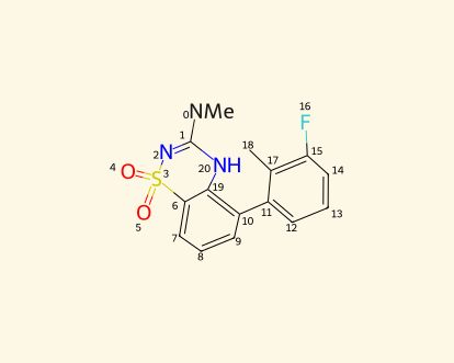 CNC1=NS(=O)(=O)c2cccc(-c3cccc(F)c3C)c2N1